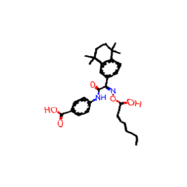 CCCCCC(O)ON=C(C(=O)Nc1ccc(C(=O)O)cc1)c1ccc2c(c1)C(C)(C)CCC2(C)C